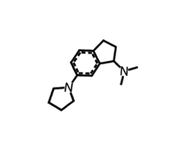 CN(C)C1CCc2ccc(N3CCCC3)cc21